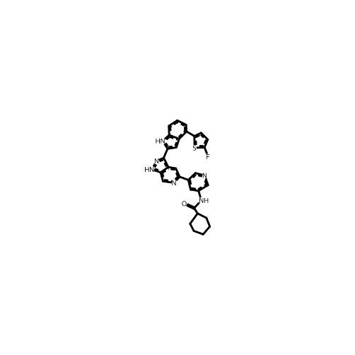 O=C(Nc1cncc(-c2cc3c(-c4cc5c(-c6ccc(F)s6)cccc5[nH]4)n[nH]c3cn2)c1)C1CCCCC1